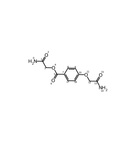 NC(=O)COC(=O)c1ccc(OCC(N)=O)cc1